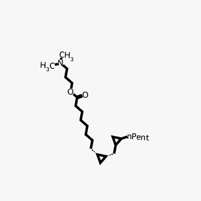 CCCCCC1CC1C[C@@H]1C[C@@H]1CCCCCCCC(=O)OCCCN(C)C